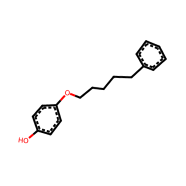 Oc1ccc(OCCCCCc2ccccc2)cc1